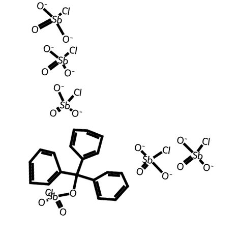 [O]=[Sb]([O-])([Cl])[O]C(c1ccccc1)(c1ccccc1)c1ccccc1.[O]=[Sb]([O-])([O-])[Cl].[O]=[Sb]([O-])([O-])[Cl].[O]=[Sb]([O-])([O-])[Cl].[O]=[Sb]([O-])([O-])[Cl].[O]=[Sb]([O-])([O-])[Cl]